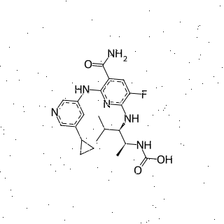 CC(C)[C@@H](Nc1nc(Nc2cncc(C3CC3)c2)c(C(N)=O)cc1F)[C@H](C)NC(=O)O